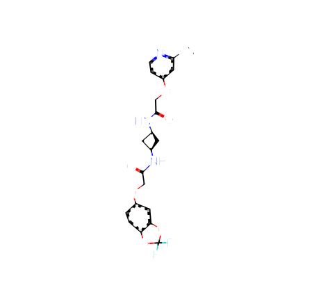 N#Cc1cc(OCC(=O)NC23CC(NC(=O)COc4ccc5c(c4)OC(F)(F)O5)(C2)C3)ccn1